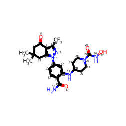 CC1(C)CC(=O)c2c(C(F)(F)F)nn(-c3ccc(C(N)=O)c(NC4CCN(C(=O)NO)CC4)c3)c2C1